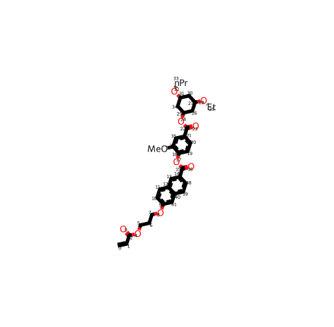 C=CC(=O)OCCCOc1ccc2cc(C(=O)Oc3ccc(C(=O)OC4CC(OCC)CC(OCCC)C4)cc3OC)ccc2c1